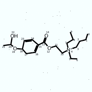 CCCC[N+](CC)(CCC)CCOC(=O)C1=CCC(OC(C)O)C=C1